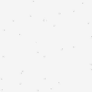 CC(C)CC(Cl)CC(C)CCl